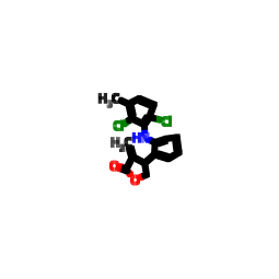 C=C1C(=O)OCC1c1ccccc1Nc1c(Cl)ccc(C)c1Cl